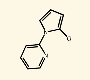 Clc1cccn1-c1ccccn1